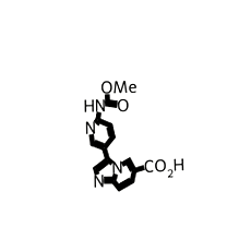 COC(=O)Nc1ccc(-c2cnc3ccc(C(=O)O)cn23)cn1